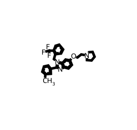 Cc1cccc(-c2nc3ccc(OCCN4CCCCC4)cc3n2Cc2ccccc2C(F)(F)F)c1